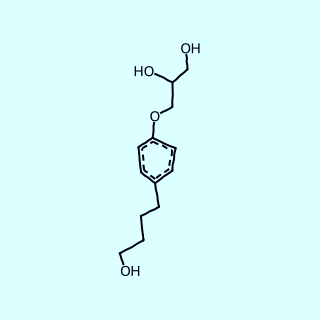 OCCCCc1ccc(OCC(O)CO)cc1